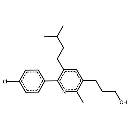 Cc1nc(-c2ccc(Cl)cc2)c(CCC(C)C)cc1CCCO